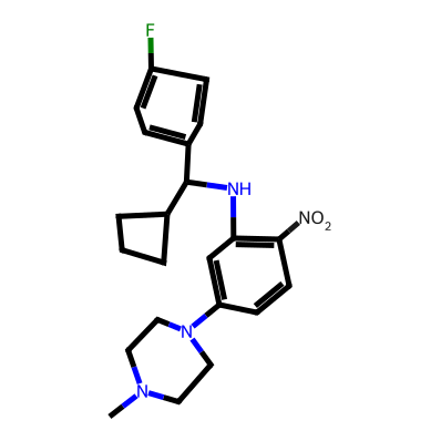 CN1CCN(c2ccc([N+](=O)[O-])c(NC(c3ccc(F)cc3)C3CCC3)c2)CC1